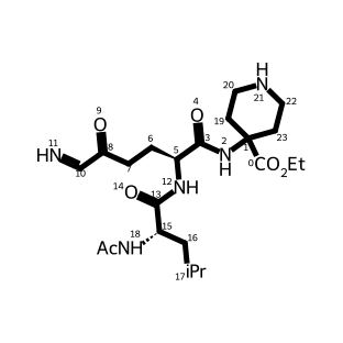 CCOC(=O)C1(NC(=O)[C@H](CCC(=O)C=N)NC(=O)[C@H](CC(C)C)NC(C)=O)CCNCC1